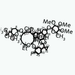 CC[C@H]1CCC[C@H](O[C@H]2CC[C@H](N(C)C)C(C)O2)[C@@H](C)C(=O)C2=C[C@H]3[C@@H]4C[C@H](OC5OC(C)C(OC)C(OC)C5OC)C[C@H]4c4sc(C5(c6ccc(F)cc6)CC5)nc4[C@H]3[C@@H]2CC(=O)O1